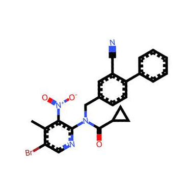 Cc1c(Br)cnc(N(Cc2ccc(-c3ccccc3)c(C#N)c2)C(=O)C2CC2)c1[N+](=O)[O-]